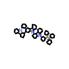 c1ccc(-n2c3ccccc3c3cccc(-c4ccc5c6ccccc6n(-c6cccc7c6c6ccccc6n7-c6cccc([Si](c7ccccc7)(c7ccccc7)c7ccccc7)c6)c5c4)c32)cc1